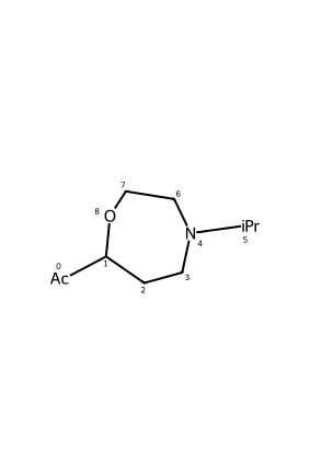 CC(=O)C1CCN(C(C)C)CCO1